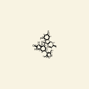 C=C(F)/C=N\C(=C/C)C(O)(c1ccc(F)cc1F)c1cc(-c2c(C)noc2C)cc2[nH]c(=O)[nH]c12